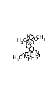 CCn1cc(-c2cc(CN3C=CSC3)cc3c2CCN([C@@H](C)c2cc(OC)ccn2)C3=O)c(C(F)(F)F)n1